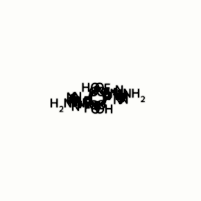 Nc1ncnc2c1ncn2C1CC2COP(=O)(O)OC3C(COP(=O)(O)OC2C1F)CC(n1cnc2c(N)ncnc21)C3F